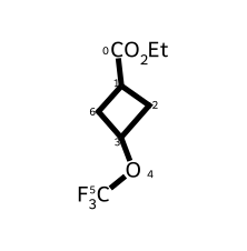 CCOC(=O)C1CC(OC(F)(F)F)C1